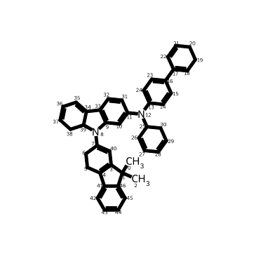 CC1(C)C2=C(CCC(N3c4cc(N(c5ccc(C6=CCCC=C6)cc5)C5C=CC=CC5)ccc4C4=CC=CCC43)=C2)c2ccccc21